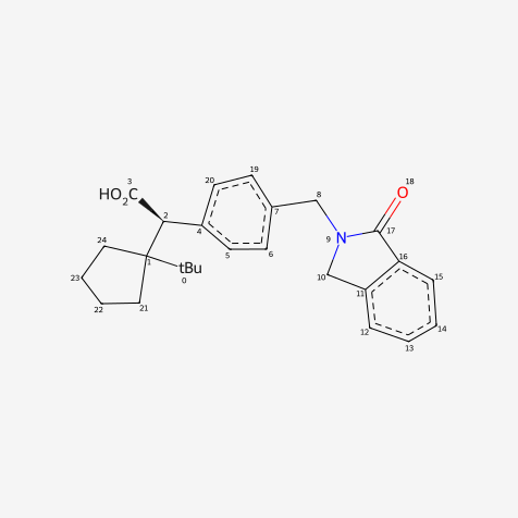 CC(C)(C)C1([C@@H](C(=O)O)c2ccc(CN3Cc4ccccc4C3=O)cc2)CCCC1